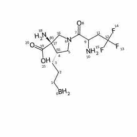 BCCC[C@H]1CN(C(=O)C(N)CC(F)(F)F)C[C@@]1(N)C(=O)O